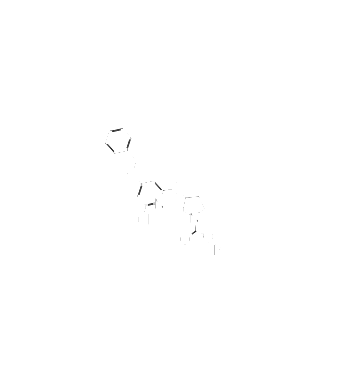 CC(C)(C)OC(=O)N1CCC(Oc2cc(OCc3ccccc3)cc(Cl)n2)C1